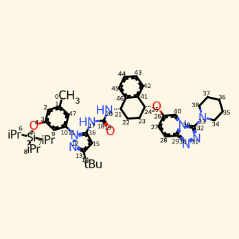 Cc1cc(O[Si](C(C)C)(C(C)C)C(C)C)cc(-n2nc(C(C)(C)C)cc2NC(=O)N[C@H]2CC[C@@H](Oc3ccc4nnc(N5CCCCC5)n4c3)c3ccccc32)c1